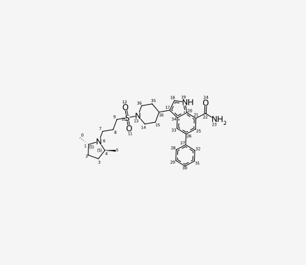 C[C@H]1CC[C@H](C)N1CCCS(=O)(=O)N1CCC(c2c[nH]c3c(C(N)=O)cc(-c4ccccc4)cc23)CC1